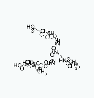 C[C@H](CCC(=O)O)C1CC2C3C[C@H](C)[C@@H]4CC(OC(=O)Cn5cc(-c6ccc7c8ccc(-c9cn(CC%10CCC%11(C)C(CCC%12C%13CCC(CCCC(=O)O)C%13(C)CCC%12%11)C%10)nn9)cc8n(CCCCCNC(=O)OC(C)(C)C)c7c6)nn5)CCC4(C)C3CCC21C